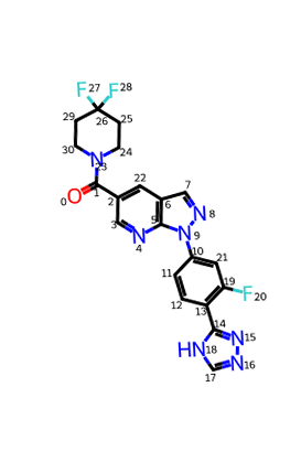 O=C(c1cnc2c(cnn2-c2ccc(-c3nnc[nH]3)c(F)c2)c1)N1CCC(F)(F)CC1